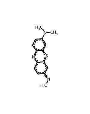 CN=c1ccc2nc3ccc(N(C)C)cc3sc-2c1